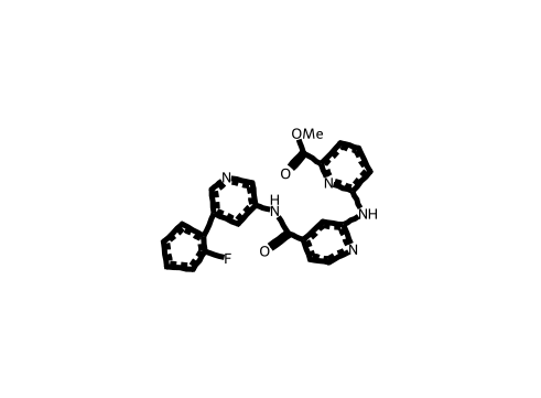 COC(=O)c1cccc(Nc2cc(C(=O)Nc3cncc(-c4ccccc4F)c3)ccn2)n1